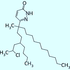 CCCCCCCCCCCC(C)(CCC(CCCC)CC(C)Cl)c1ccc(=O)[nH]n1